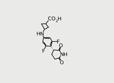 O=C1CC[C@H](c2c(F)cc(NC3CC(C(=O)O)C3)cc2F)C(=O)N1